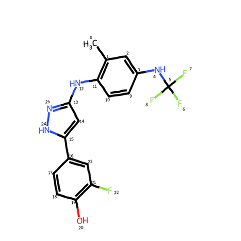 Cc1cc(NC(F)(F)F)ccc1Nc1cc(-c2ccc(O)c(F)c2)[nH]n1